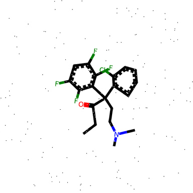 CCC(=O)C(CCN(C)C)(c1ccccc1Cl)c1c(F)c(F)cc(F)c1F